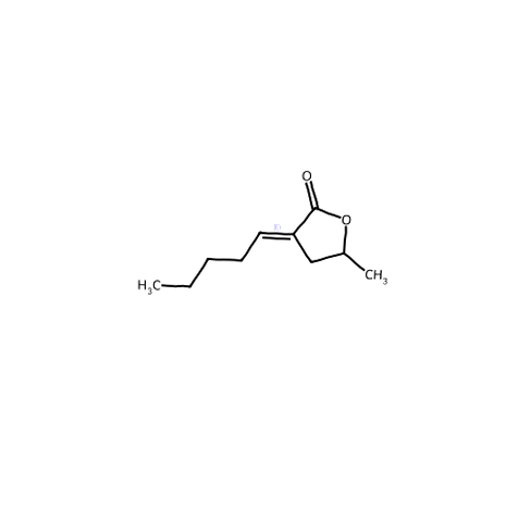 CCCC/C=C1\CC(C)OC1=O